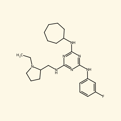 CCN1CCCC1CNc1nc(Nc2cccc(F)c2)nc(NC2CCCCCC2)n1